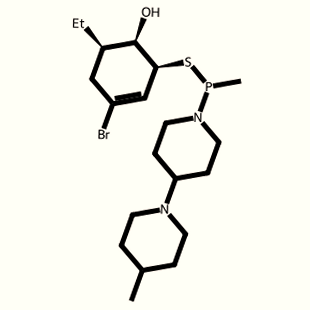 CC[C@@H]1CC(Br)=C[C@H](SP(C)N2CCC(N3CCC(C)CC3)CC2)[C@@H]1O